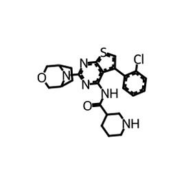 O=C(Nc1nc(N2C3CCC2COC3)nc2scc(-c3ccccc3Cl)c12)C1CCCNC1